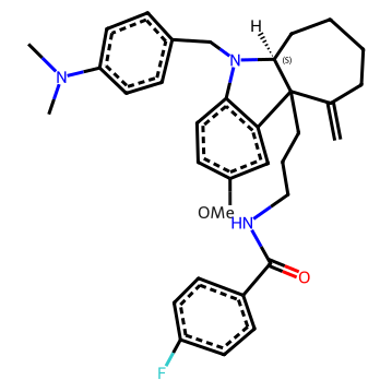 C=C1CCCC[C@@H]2N(Cc3ccc(N(C)C)cc3)c3ccc(OC)cc3C12CCCNC(=O)c1ccc(F)cc1